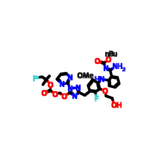 CCCCOC(=O)N=C(N)c1ccccc1Nc1c(OC)cc(Cc2nc(OCOC(=O)OC(C)(C)CF)n(-c3ncccn3)n2)c(F)c1OCCO